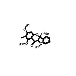 COC1(c2ccccc2)Oc2cc(OC(C)C)c(I)c(OC(C)C)c2C(=O)C1OC(C)C